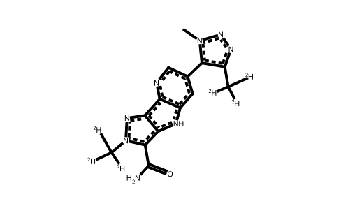 [2H]C([2H])([2H])c1nnn(C)c1-c1cnc2c(c1)[nH]c1c(C(N)=O)n(C([2H])([2H])[2H])nc12